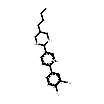 CCCCC1COC(c2ccc(-c3ccc(Cl)c(F)c3)nc2)OC1